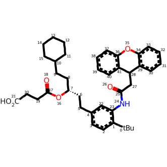 CC(C)(C)c1ccc(CC[C@@H](CCC2CCCCC2)OC(=O)CCC(=O)O)cc1NC(=O)CC1c2ccccc2Oc2ccccc21